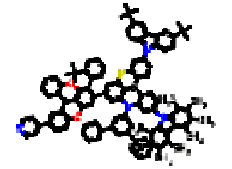 Bc1c(B)c(B)c2c(c1B)c1c(B)c(B)c(B)c(B)c1n2-c1ccc2c(c1)N(c1cc(-c3ccccc3)cc(-c3ccccc3)c1)c1cc(-c3cc4c5c(c3-c3ccccc3C(C)(C)C)Oc3ccccc3B5c3cc(-c5ccncc5)ccc3O4)cc3c1B2c1ccc(-n2c4ccc(C(C)(C)C)cc4c4cc(C(C)(C)C)ccc42)cc1S3